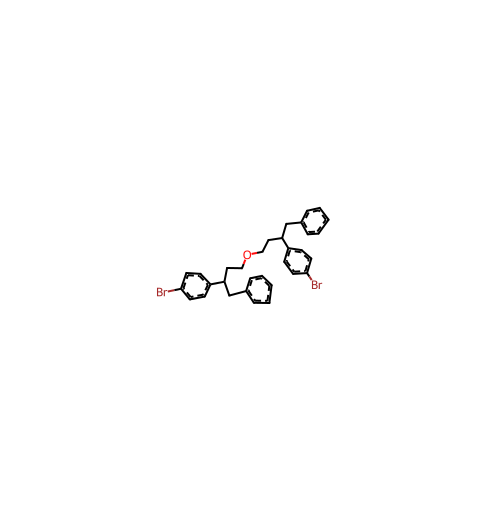 Brc1ccc(C(CCOCCC(Cc2ccccc2)c2ccc(Br)cc2)Cc2ccccc2)cc1